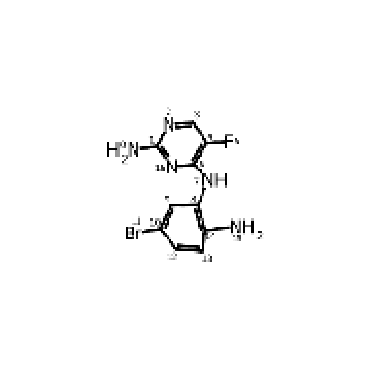 Nc1ncc(F)c(Nc2cc(Br)ccc2N)n1